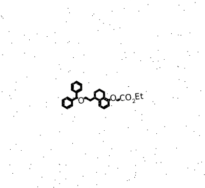 CCOC(=O)COc1cccc2c1CCCC2CCOC(c1ccccc1)c1ccccc1